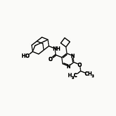 CC(C)Oc1ncc(C(=O)NC2C3CC4CC2CC(O)(C4)C3)c(C2CCC2)n1